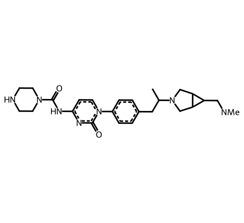 CNCC1C2CN(C(C)Cc3ccc(-n4ccc(NC(=O)N5CCNCC5)nc4=O)cc3)CC12